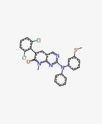 CSc1cccc(N(c2ccccc2)c2ncc3cc(-c4c(Cl)cccc4Cl)c(=O)n(C)c3n2)c1